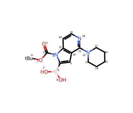 CC(C)(C)OC(=O)n1c(B(O)O)cc2c(N3CCCCC3)nccc21